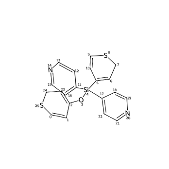 C1=CC(O[Si](C2=CCSC=C2)(c2ccncc2)c2ccncc2)=CCS1